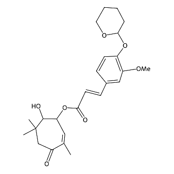 COc1cc(C=CC(=O)OC2C=C(C)C(=O)CC(C)(C)C2O)ccc1OC1CCCCO1